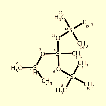 C[SiH](C)O[Si](C)(O[Si](C)(C)C)O[Si](C)(C)C